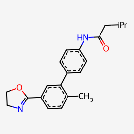 Cc1ccc(C2=NCCO2)cc1-c1ccc(NC(=O)CC(C)C)cc1